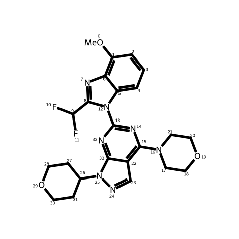 COc1cccc2c1nc(C(F)F)n2-c1nc(N2CCOCC2)c2cnn(C3CCOCC3)c2n1